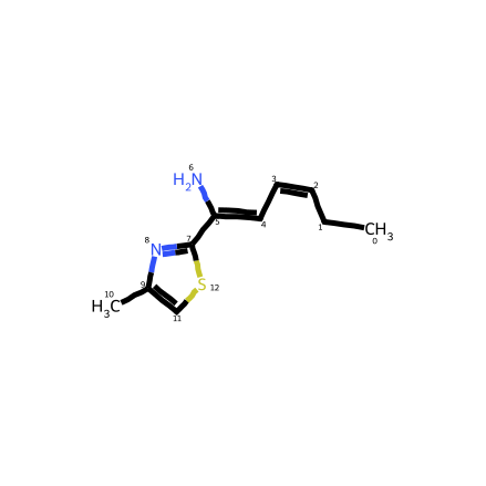 CC/C=C\C=C(/N)c1nc(C)cs1